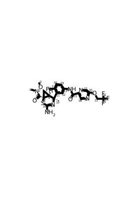 CON(C)C(=O)[C@]12C[C@H]1[C@@](C)(c1cc(NC(=O)c3cnc(OCC(F)(F)F)cn3)ccc1F)N=C(N)S2